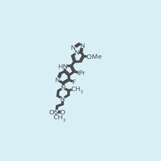 COc1cc(-c2[nH]c3cnc(N4CCN(CCS(C)(=O)=O)CC4C)c(F)c3c2C(C)C)cn2ncnc12